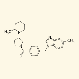 Cc1ccc2c(c1)ncn2Cc1ccc(C(=O)N2CCC(N3CCCCC3C)C2)cc1